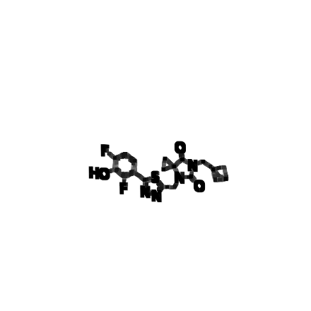 O=C1N(CC23CC(C2)C3)C(=O)C2(CC2)N1Cc1nnc(-c2ccc(F)c(O)c2F)s1